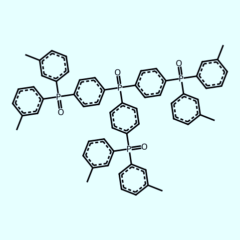 Cc1cccc(P(=O)(c2ccc(P(=O)(c3ccc(P(=O)(c4cccc(C)c4)c4cccc(C)c4)cc3)c3ccc(P(=O)(c4cccc(C)c4)c4cccc(C)c4)cc3)cc2)c2cccc(C)c2)c1